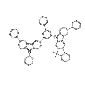 CC1(C)c2ccccc2-c2cc3c4cc(-c5ccccc5)ccc4n(-c4cc(-c5ccccc5)cc(-c5ccc6c(c5)c5cc(-c7ccccc7)ccc5n6-c5ccccc5)c4)c3cc21